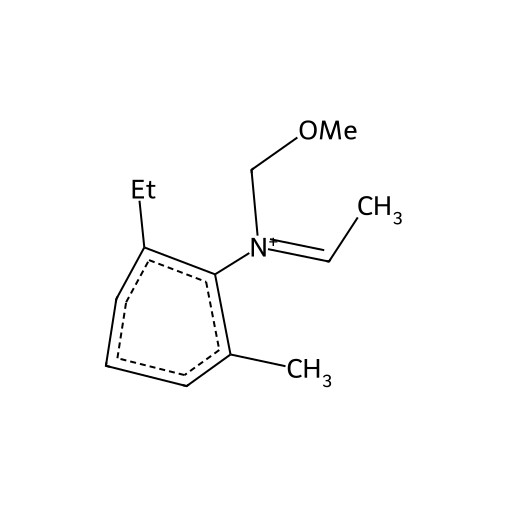 CC=[N+](COC)c1c(C)cccc1CC